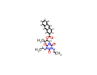 C=CCn1c(=O)n(CCC)c(=O)n(CC(CC)OC(=O)c2ccc3cc4ccccc4cc3c2)c1=O